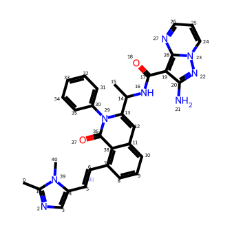 Cc1ncc(/C=C/c2cccc3cc(C(C)NC(=O)c4c(N)nn5cccnc45)n(-c4ccccc4)c(=O)c23)n1C